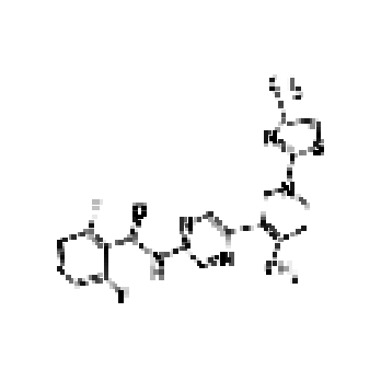 CC1=C(c2cnc(NC(=O)c3c(F)cccc3F)cn2)CN(c2nc(C)cs2)CC1